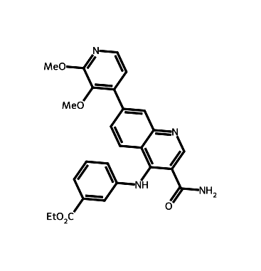 CCOC(=O)c1cccc(Nc2c(C(N)=O)cnc3cc(-c4ccnc(OC)c4OC)ccc23)c1